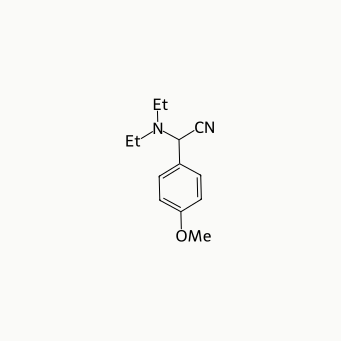 CCN(CC)C(C#N)c1ccc(OC)cc1